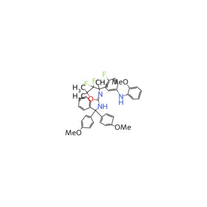 COc1ccc(C(NC2=NC(C)(c3cc(Nc4ccccc4OC)ccc3F)C(F)(F)C(C)(C)O2)(c2ccccc2)c2ccc(OC)cc2)cc1